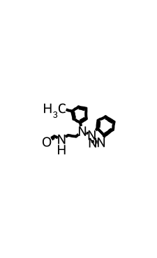 Cc1cccc(N(CCNC=O)n2nnc3ccccc32)c1